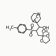 Cc1ccc(S(=O)(=O)C(CC2(C)OCCO2)C(O)C2CN3CCC2CC3)cc1